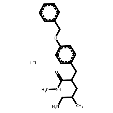 CNC(=O)C(Cc1ccc(OCc2ccccc2)cc1)CC(C)CN.Cl